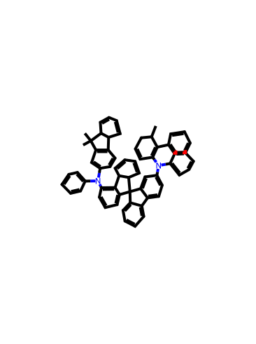 CC1CC=CC(N(c2ccccc2)c2ccc3c(c2)C2(c4ccccc4-3)c3cccc(N(c4ccccc4)c4ccc5c(c4)C(C)(C)C4C=CC=CC54)c3C3C=CC=CC32)=C1c1ccccc1